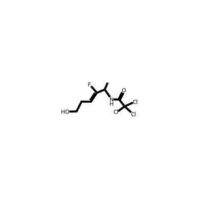 CC(NC(=O)C(Cl)(Cl)Cl)/C(F)=C/CCO